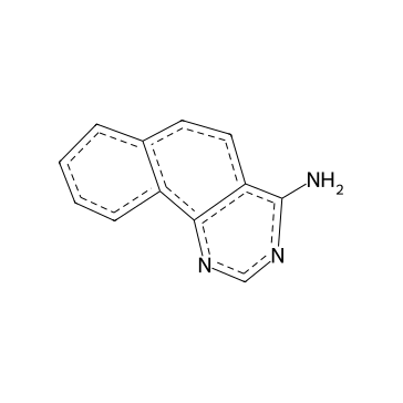 Nc1ncnc2c1ccc1ccccc12